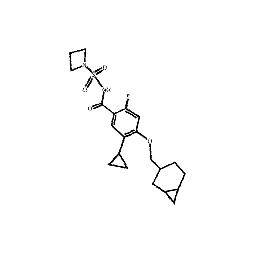 O=C(NS(=O)(=O)N1CCC1)c1cc(C2CC2)c(OCC2CCC3CC3C2)cc1F